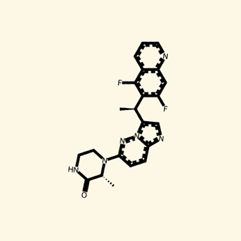 C[C@@H](c1c(F)cc2ncccc2c1F)c1cnc2ccc(N3CCNC(=O)[C@H]3C)nn12